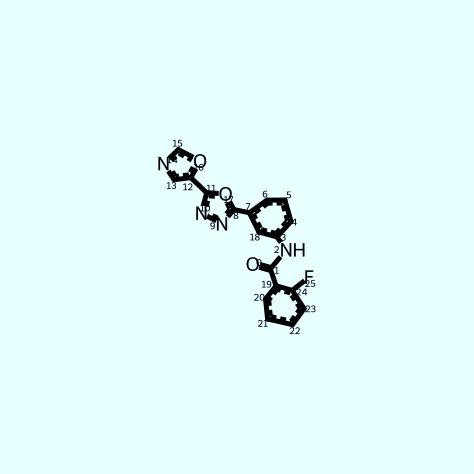 O=C(Nc1cccc(-c2nnc(-c3cnco3)o2)c1)c1ccccc1F